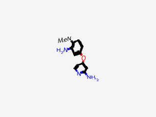 CNc1ccc(Oc2ccnc(N)c2)cc1N